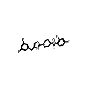 O=S(=O)(c1ccc(F)cc1F)C1CCN(c2nc(Cc3cc(F)cc(F)c3)cs2)CC1